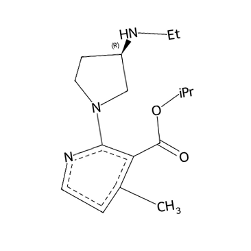 CCN[C@@H]1CCN(c2nccc(C)c2C(=O)OC(C)C)C1